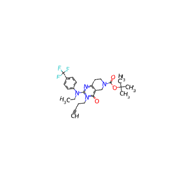 C#CCCn1c(N(CC)c2ccc(C(F)(F)F)cc2)nc2c(c1=O)CN(C(=O)OC(C)(C)C)CC2